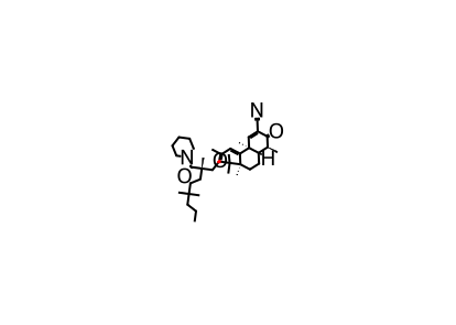 CCCC(C)(C)CC[C@@](C)(CCC(C)(C)[C@]1(C)CC[C@H]2[C@H](C)C(=O)C(C#N)=C[C@]2(C)/C1=C/C(C)=O)C(=O)N1CCCCC1